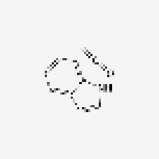 C=C=O.c1ccc2[nH]ccc2c1